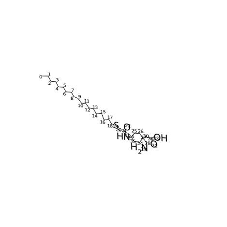 CCCCCCCCCCCCCCCCCCCSCC(=O)NC1CCC(CN)(CC(=O)O)CC1